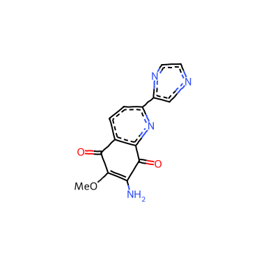 COC1=C(N)C(=O)c2nc(-c3cnccn3)ccc2C1=O